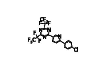 FC(F)(F)C(F)(F)c1nc(-c2ccc(-c3ccc(Cl)cc3)nc2)nc(C(F)(F)C(F)(F)F)n1